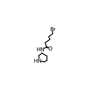 O=C(CCCCBr)N[C@@H]1CCCNC1